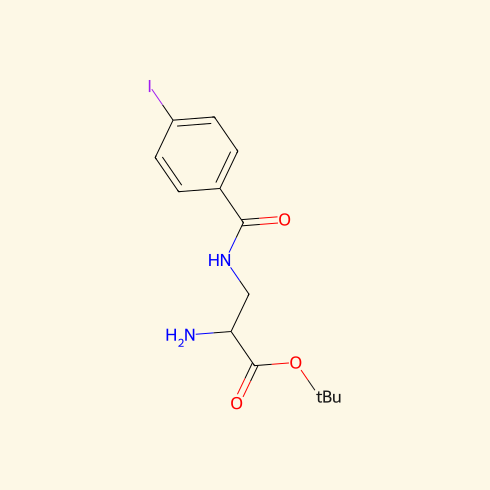 CC(C)(C)OC(=O)C(N)CNC(=O)c1ccc(I)cc1